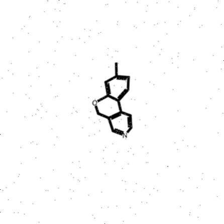 Cc1ccc2c(c1)OCc1cnccc1-2